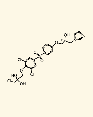 O=S(=O)(c1ccc(OC[C@H](O)Cn2ccnc2)cc1)c1cc(Cl)c(OCC(O)(O)CCl)c(Cl)c1